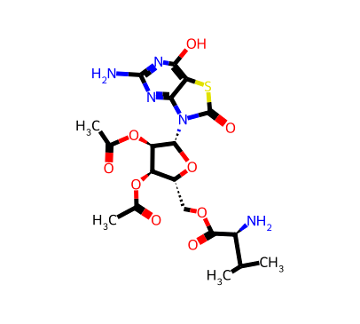 CC(=O)O[C@@H]1[C@H](OC(C)=O)[C@@H](COC(=O)[C@@H](N)C(C)C)O[C@H]1n1c(=O)sc2c(O)nc(N)nc21